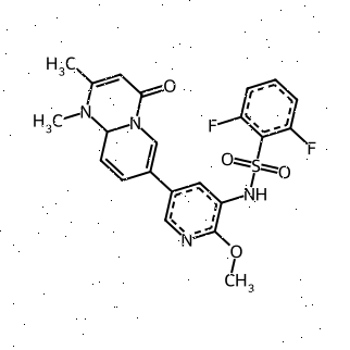 COc1ncc(C2=CN3C(=O)C=C(C)N(C)C3C=C2)cc1NS(=O)(=O)c1c(F)cccc1F